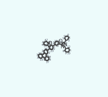 C1=C=CC(c2nc(-c3ccccc3)nc3c2oc2ccc(-c4ccc(-c5ccc6c7ccccc7c7ccccc7c6c5)c5c4oc4ccccc45)cc23)=CC=1